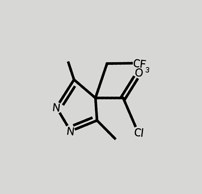 CC1=NN=C(C)C1(CC(F)(F)F)C(=O)Cl